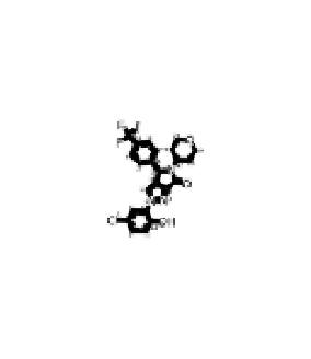 O=C1c2nn(-c3cc(Cl)ccc3O)cc2C(c2ccc(C(F)(F)F)cc2)N1C1CCOCC1